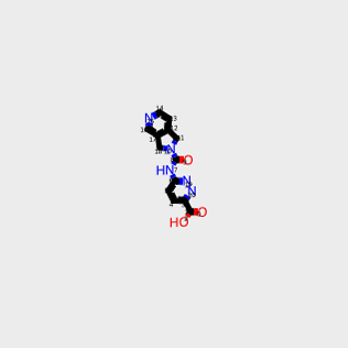 O=C(O)c1ccc(NC(=O)N2Cc3ccncc3C2)nn1